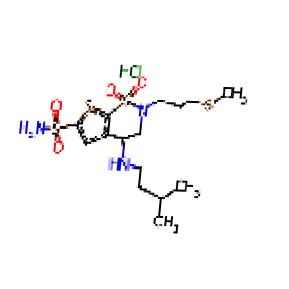 CSCCCN1CC(NCCC(C)C)c2cc(S(N)(=O)=O)sc2S1(=O)=O.Cl